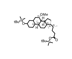 CO[C@H]1CC2CC(O[Si](C)(C)C(C)(C)C)CC[C@]2(C)[C@H]2CC[C@]3(C)[C@@H]([C@H](C)CCC(=O)O[Si](C)(C)C(C)(C)C)CC[C@H]3[C@H]12